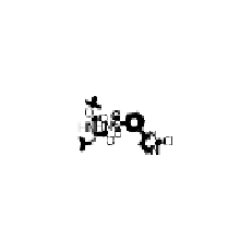 CC(C)C[C@H](NC(=O)OC(C)(C)C)C(=O)NS(=O)(=O)c1cccc(-c2ccnc(Cl)n2)c1